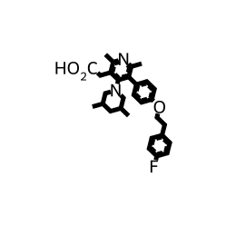 Cc1nc(C)c(-c2ccc(OCCc3ccc(F)cc3)cc2)c(N2CC(C)CC(C)C2)c1CC(=O)O